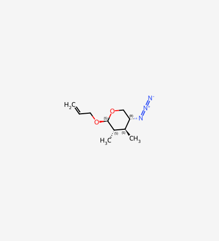 C=CCO[C@H]1OC[C@H](N=[N+]=[N-])[C@@H](C)[C@@H]1C